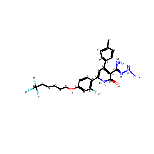 Cc1ccc(-c2cc(-c3ccc(OCCCCCC(F)(F)F)cc3F)[nH]c(=O)c2/C(N)=N/NN)cc1